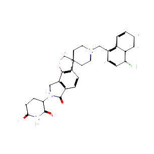 O=C1CCC(N2Cc3c(ccc4c3OCC43CCN(CC4=C5C=CCCC5C(Cl)C=C4)CC3)C2=O)C(=O)N1